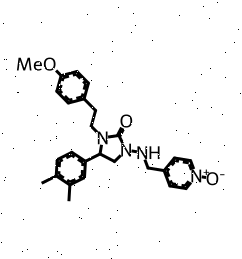 COc1ccc(CCN2C(=O)N(NCc3cc[n+]([O-])cc3)CC2c2ccc(C)c(C)c2)cc1